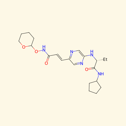 CC[C@@H](Nc1cnc(/C=C/C(=O)NOC2CCCCO2)cn1)C(=O)NC1CCCC1